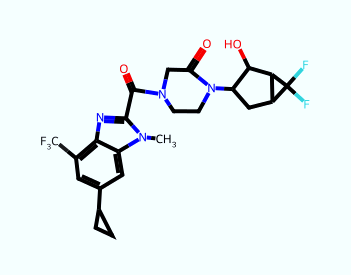 Cn1c(C(=O)N2CCN(C3CC4C(C3O)C4(F)F)C(=O)C2)nc2c(C(F)(F)F)cc(C3CC3)cc21